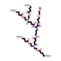 CCCCCCCCCCCCCC(=O)OCCN(CCOC(=O)CCCCCCCCCCCCC)C(=O)CCC(=O)NCCCC[C@H](NC(=O)CCC(=O)N(CCOC(=O)CCCCCCCCCCCCC)CCOC(=O)CCCCCCCCCCCCC)C(=O)NCCCOCCOCC